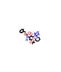 CC(C)(C)OC(=O)CC(NC(=O)OCc1ccccc1)C(=O)Cn1nnnc1N1CCCCC1